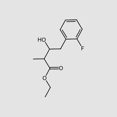 CCOC(=O)C(C)C(O)Cc1ccccc1F